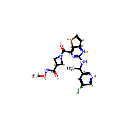 CC(Nc1nc(C(=O)N2CC(C(=O)NOC(C)(C)C)C2)c2sccc2n1)c1cncc(F)c1